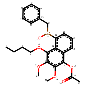 CCCCOc1c(OC)c(OC)c(OC(C)=O)c2cccc([S+]([O-])Cc3ccccc3)c12